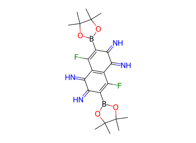 CC1(C)OB(c2c(F)c3c(=N)c(=N)c(B4OC(C)(C)C(C)(C)O4)c(F)c=3c(=N)c2=N)OC1(C)C